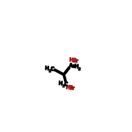 Br.Br.CC(C)[AsH2]